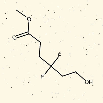 COC(=O)CCC(F)(F)CCO